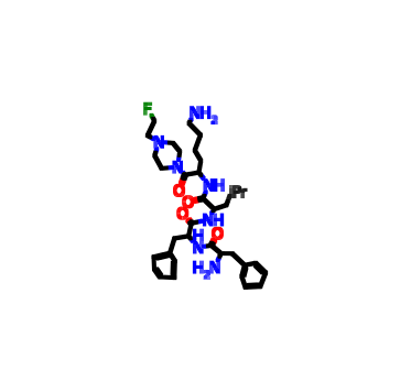 CC(C)CC(NC(=O)C(Cc1ccccc1)NC(=O)C(N)Cc1ccccc1)C(=O)NC(CCCCN)C(=O)N1CCN(CCF)CC1